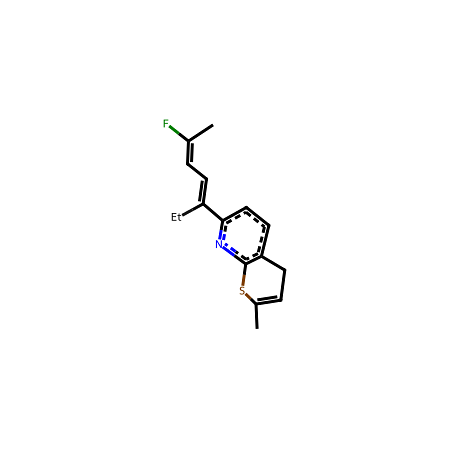 CC/C(=C\C=C(/C)F)c1ccc2c(n1)SC(C)=CC2